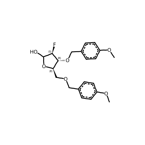 COc1ccc(COC[C@H]2OC(O)[C@@H](F)[C@@H]2OCc2ccc(OC)cc2)cc1